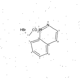 Br.CCOC(C)=O.c1ccc2cnccc2c1